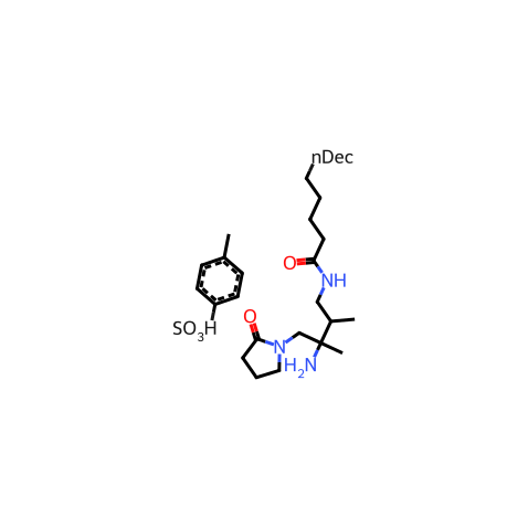 CCCCCCCCCCCCCCC(=O)NCC(C)C(C)(N)CN1CCCC1=O.Cc1ccc(S(=O)(=O)O)cc1